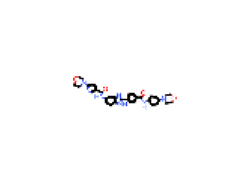 O=C(Nc1ccc(N2CCOCC2)cc1)c1ccc(-c2nc3cc(NC(=O)c4ccc(N5CCOCC5)nc4)ccc3[nH]2)cc1